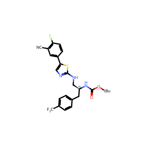 CC(C)(C)OC(=O)N[C@H](CNc1ncc(-c2ccc(F)c(C#N)c2)s1)Cc1ccc(C(F)(F)F)cc1